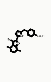 Cc1ccc(C)c2c(Br)c(-c3ccc(Cc4ccc(C(=O)O)cc4)[nH]3)oc12